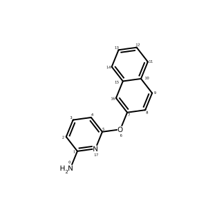 Nc1cccc(Oc2ccc3ccccc3c2)n1